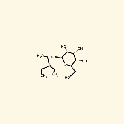 CCN(CC)CC.OC[C@H]1O[C@@H](O)[C@H](O)[C@H](O)[C@@H]1O